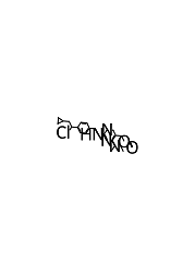 CCN(C)c1nc(NCc2ccc(C(Cl)CC3CC3)cc2)ncc1COC=O